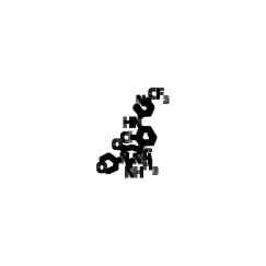 C[C@@]1(c2cccc(Nc3ccc(C(F)(F)F)nc3)c2Cl)CC(=O)N(C2CCOCC2)C(=N)N1